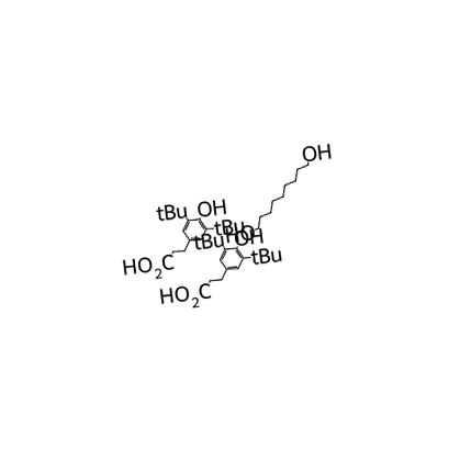 CC(C)(C)c1cc(CCC(=O)O)cc(C(C)(C)C)c1O.CC(C)(C)c1cc(CCC(=O)O)cc(C(C)(C)C)c1O.OCCCCCCCCCO